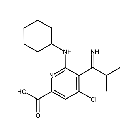 CC(C)C(=N)c1c(Cl)cc(C(=O)O)nc1NC1CCCCC1